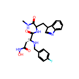 CNC(=O)C(CC1C=Nc2ccccc21)NC(=O)[C@@H](CC(=O)NO)NCc1ccc(F)cc1